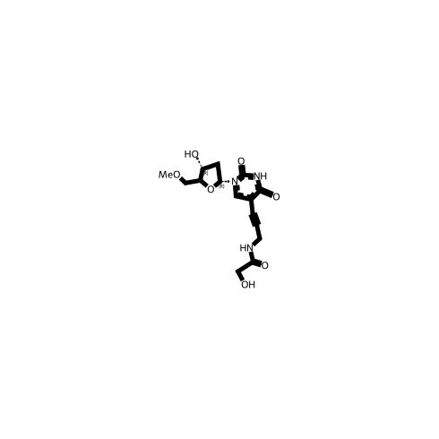 COCC1O[C@@H](n2cc(C#CCNC(=O)CO)c(=O)[nH]c2=O)C[C@H]1O